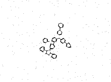 C1=CC(C2C=CC([C@H](c3ccc(-c4ccccc4)cc3)c3ccc4c(c3)c3ccc(N5C6c7ccccc7SC6C6Sc7ccccc7C65)cc3n4-c3ccccc3)=CC2)=CCC1